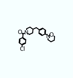 O=C(c1ccc(Cl)cc1)N1CCC(Cc2ccc(N3CCCCO3)cc2)CC1